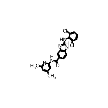 Cc1cc(C)nc(NC(=O)c2ccc3[nH]c(Nc4c(Cl)cccc4Cl)nc3c2)c1